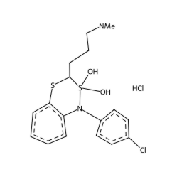 CNCCCC1Sc2ccccc2N(c2ccc(Cl)cc2)S1(O)O.Cl